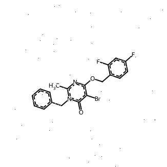 Cc1nc(OCc2ccc(F)cc2F)c(Br)c(=O)n1Cc1ccccc1